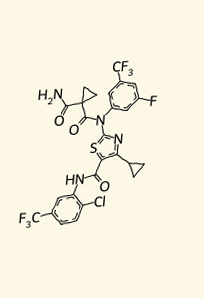 NC(=O)C1(C(=O)N(c2cc(F)cc(C(F)(F)F)c2)c2nc(C3CC3)c(C(=O)Nc3cc(C(F)(F)F)ccc3Cl)s2)CC1